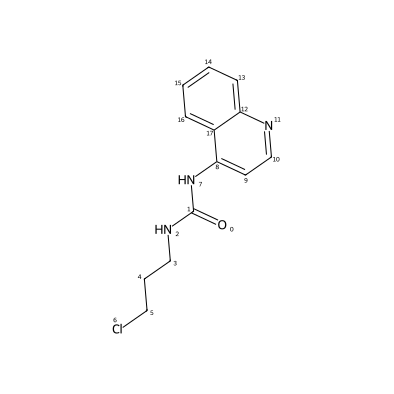 O=C(NCCCCl)Nc1ccnc2ccccc12